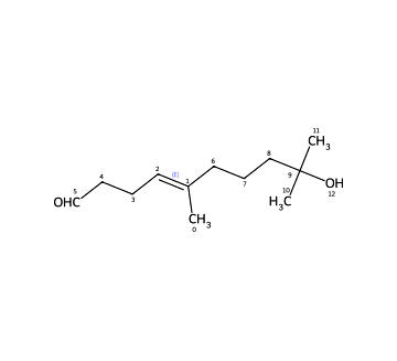 C/C(=C\CCC=O)CCCC(C)(C)O